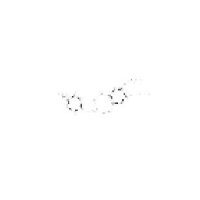 COc1cc2c(cc1OC)CCN(Cc1ccc([N+](=O)[O-])cc1)CC2